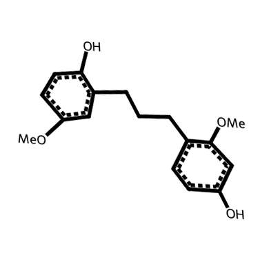 COc1ccc(O)c(CCCc2ccc(O)cc2OC)c1